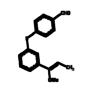 CC=C(OC)c1cccc(Sc2ccc(C=O)cc2)c1